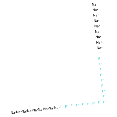 [F-].[F-].[F-].[F-].[F-].[F-].[F-].[F-].[F-].[F-].[F-].[F-].[F-].[F-].[F-].[F-].[F-].[F-].[Na+].[Na+].[Na+].[Na+].[Na+].[Na+].[Na+].[Na+].[Na+].[Na+].[Na+].[Na+].[Na+].[Na+].[Na+].[Na+].[Na+].[Na+]